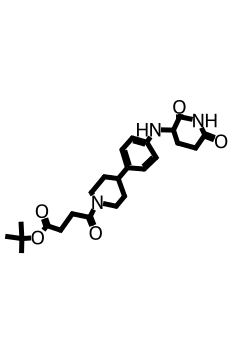 CC(C)(C)OC(=O)CCC(=O)N1CCC(c2ccc(NC3CCC(=O)NC3=O)cc2)CC1